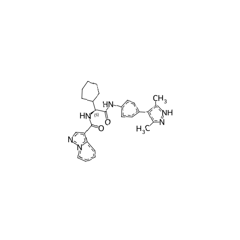 Cc1n[nH]c(C)c1-c1ccc(NC(=O)[C@@H](NC(=O)c2cnn3ccccc23)C2CCCCC2)cc1